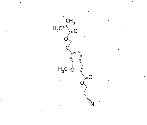 C=C(C)C(=O)OCOc1ccc(/C=C/C(=O)OCCC#N)c(OC)c1